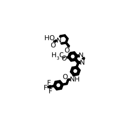 COc1cc2c(-c3ccc(NC(=O)Cc4ccc(C(F)(F)F)cc4)cc3)ncnc2cc1OCC1CCCN(C(=O)O)C1